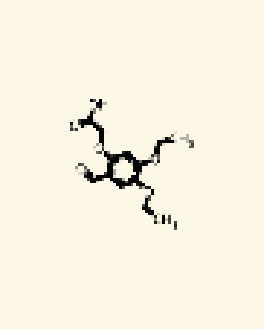 CCOc1cc(C=O)c(OCC(=O)O)cc1OCC